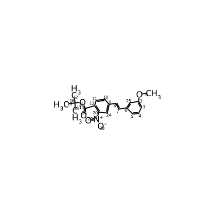 COc1cccc(C=Cc2ccc(C(=O)OC(C)(C)C)c([N+](=O)[O-])c2)c1